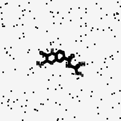 CC1Oc2cc(C(=O)NC(=N)N)ccc2NC1=O